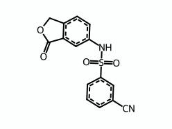 N#Cc1cccc(S(=O)(=O)Nc2ccc3c(c2)C(=O)OC3)c1